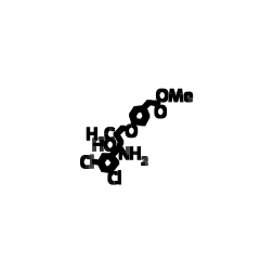 COC(=O)Cc1ccc(OCC(C)CC(N)(O)c2cc(Cl)cc(Cl)c2)cc1